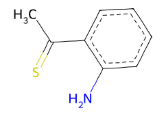 CC(=S)c1ccccc1N